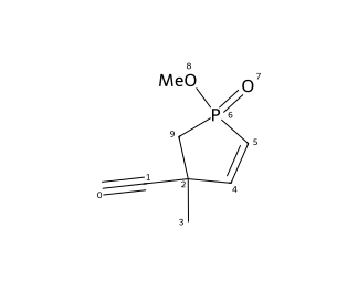 C#CC1(C)C=CP(=O)(OC)C1